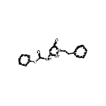 O=C(Nc1cc(=O)n(CCc2ccccc2)[nH]1)Oc1ccccc1